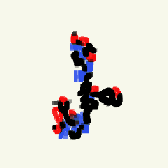 COC(=O)NC(C(=O)N1CCC[C@H]1c1ncc(-c2cc(C)c3c(c2)OC(c2ccc4c(c2)OCCC4)n2c-3cc3cc(-c4cnc([C@@H]5CCCN5C(=O)C(NC(=O)OC)C5C[C@@H](C)O[C@@H](C)C5)[nH]4)ccc32)[nH]1)C(C)C